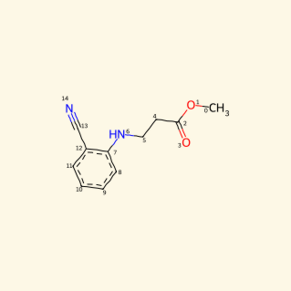 COC(=O)CCNc1ccccc1C#N